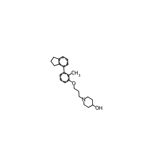 Cc1c(OCCCN2CCC(O)CC2)cccc1-c1cccc2c1CCC2